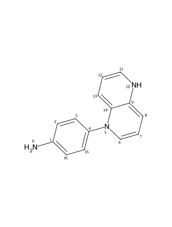 Nc1ccc(N2C=CC=C3NC=CC=C32)cc1